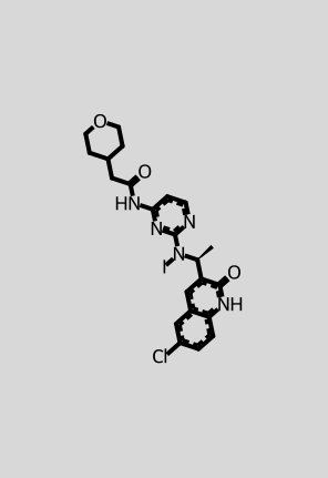 C[C@@H](c1cc2cc(Cl)ccc2[nH]c1=O)N(I)c1nccc(NC(=O)CC2CCOCC2)n1